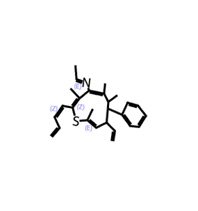 C=C/C=C\C1=C(/C)C(/N=C/C)=C(C)C(C)C(c2ccccc2)C(C=C)/C=C(\C)S1